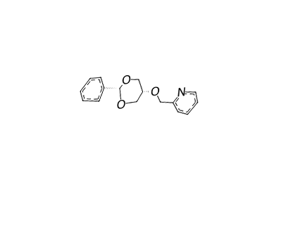 c1ccc([C@H]2OC[C@@H](OCc3ccccn3)CO2)cc1